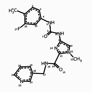 Cc1ccc(NC(=O)Nc2cn(C)c(C(=O)NCc3cccnc3)n2)cc1F